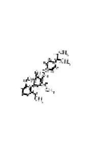 CCc1cccc(CC)c1-c1cc(OC)c(COc2ccc(C(C)CC)cc2)c(C)n1